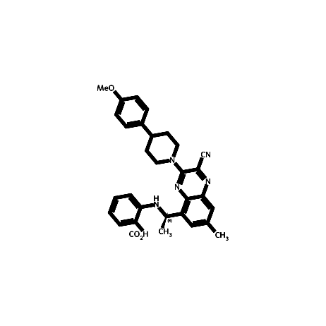 COc1ccc(C2CCN(c3nc4c([C@@H](C)Nc5ccccc5C(=O)O)cc(C)cc4nc3C#N)CC2)cc1